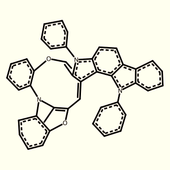 CC1=C2/C=c3\c(n(-c4ccccc4)c4ccc5c6ccccc6n(-c6ccccc6)c5c34)=C\Oc3ccccc3N1c1ccccc1O2